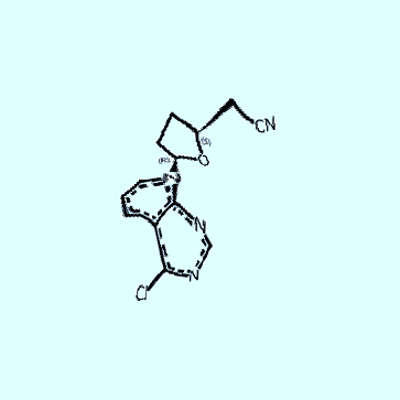 N#CC[C@@H]1CC[C@H](n2ccc3c(Cl)ncnc32)O1